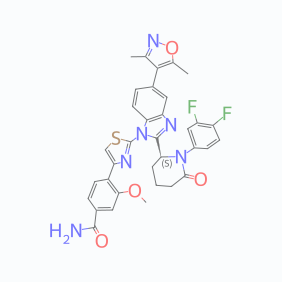 COc1cc(C(N)=O)ccc1-c1csc(-n2c([C@@H]3CCCC(=O)N3c3ccc(F)c(F)c3)nc3cc(-c4c(C)noc4C)ccc32)n1